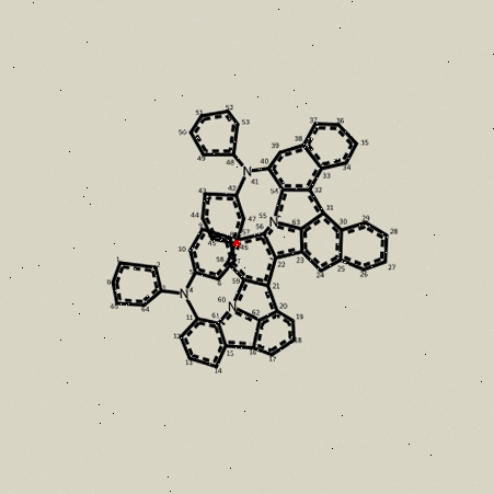 c1ccc(N(c2ccccc2)c2cccc3c4cccc5c6c7c8cc9ccccc9c9c%10c%11ccccc%11cc(N(c%11ccccc%11)c%11ccccc%11)c%10n(c7ccc6n(c23)c45)c89)cc1